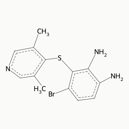 Cc1cncc(C)c1Sc1c(Br)ccc(N)c1N